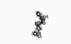 O=C(NCC(=O)N1CCC(Sc2ccccc2Cl)CC1)c1cc(-c2ccccc2)[nH]n1